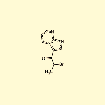 CC(Br)C(=O)c1cnc2ncccn12